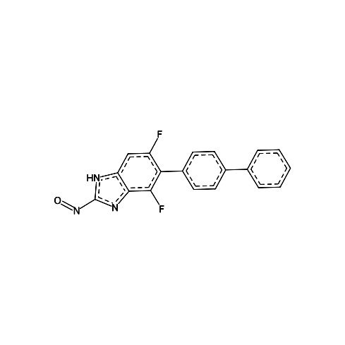 O=Nc1nc2c(F)c(-c3ccc(-c4ccccc4)cc3)c(F)cc2[nH]1